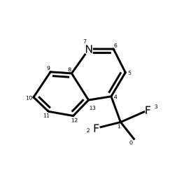 CC(F)(F)c1ccnc2ccccc12